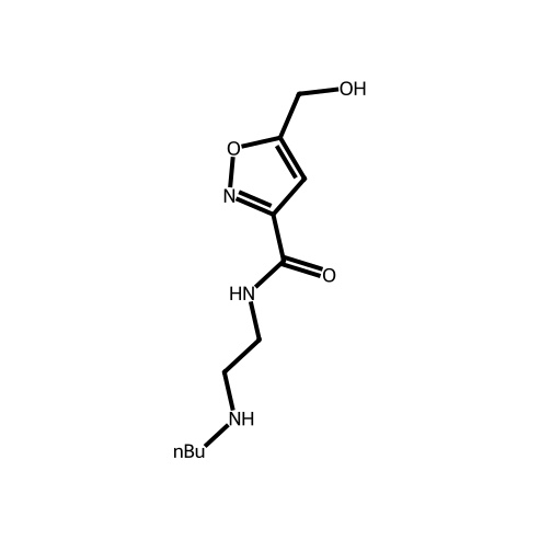 CCCCNCCNC(=O)c1cc(CO)on1